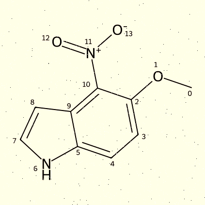 COc1ccc2[nH]ccc2c1[N+](=O)[O-]